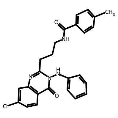 Cc1ccc(C(=O)NCCCc2nc3cc(Cl)ccc3c(=O)n2Nc2ccccc2)cc1